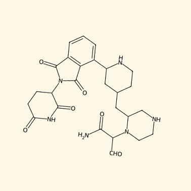 NC(=O)C(C=O)N1CCNCC1CC1CCNC(c2cccc3c2C(=O)N(C2CCC(=O)NC2=O)C3=O)C1